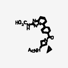 C1CC1.CC(=O)NC1CN(C(=O)c2ccc(-c3cccc4nc(NC(=O)O)nn34)cc2)C1